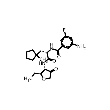 CC[C@@H]1OCC(=O)[C@H]1NC(=O)[C@H](CC1(C)CCCC1)NC(=O)c1cc(N)cc(F)c1